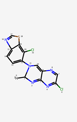 [2H]C1N=c2nc(Cl)cnc2=CN1c1ccc2ncsc2c1Cl